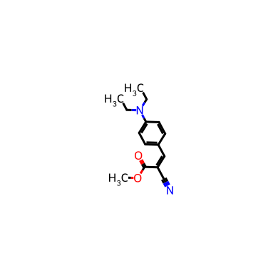 CCN(CC)c1ccc(C=C(C#N)C(=O)OC)cc1